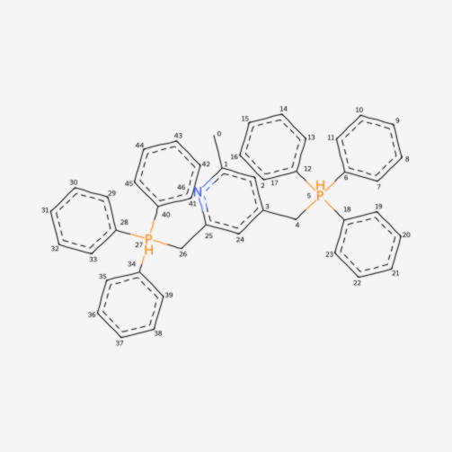 Cc1cc(C[PH](c2ccccc2)(c2ccccc2)c2ccccc2)cc(C[PH](c2ccccc2)(c2ccccc2)c2ccccc2)n1